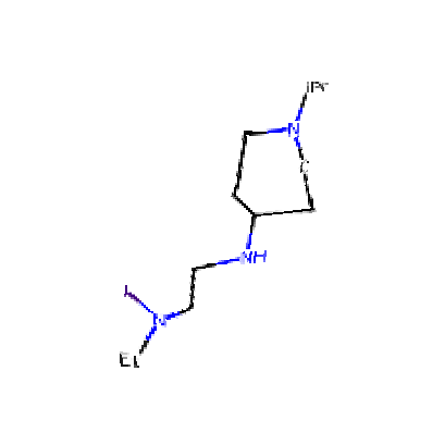 CCN(I)CCNC1CCN(C(C)C)CC1